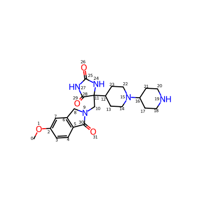 COc1ccc2c(c1)CN(CC1(C3CCN(C4CCNCC4)CC3)NC(=O)NC1=O)C2=O